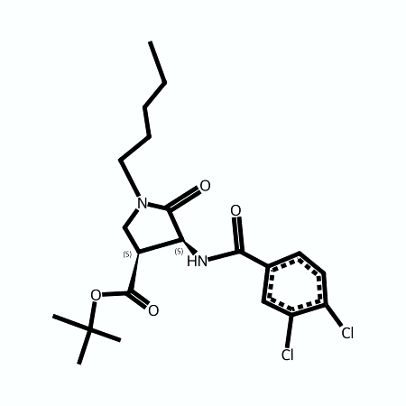 CCCCCN1C[C@H](C(=O)OC(C)(C)C)[C@H](NC(=O)c2ccc(Cl)c(Cl)c2)C1=O